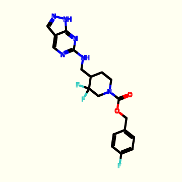 O=C(OCc1ccc(F)cc1)N1CCC(CNc2ncc3cn[nH]c3n2)C(F)(F)C1